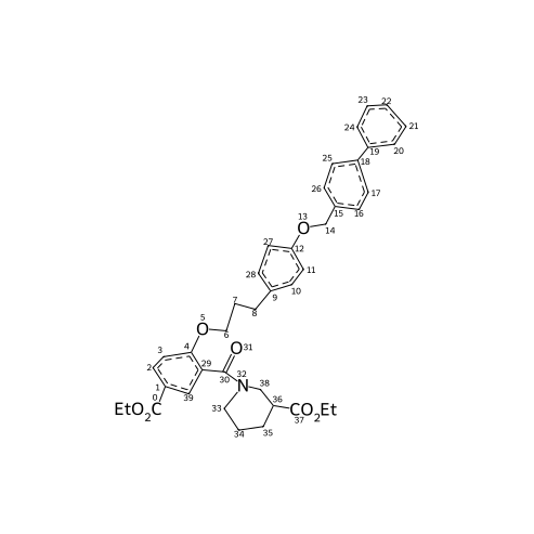 CCOC(=O)c1ccc(OCCCc2ccc(OCc3ccc(-c4ccccc4)cc3)cc2)c(C(=O)N2CCCC(C(=O)OCC)C2)c1